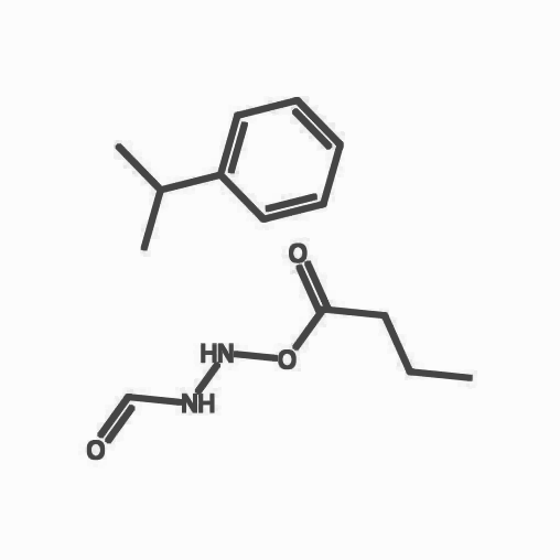 CC(C)c1ccccc1.CCCC(=O)ONNC=O